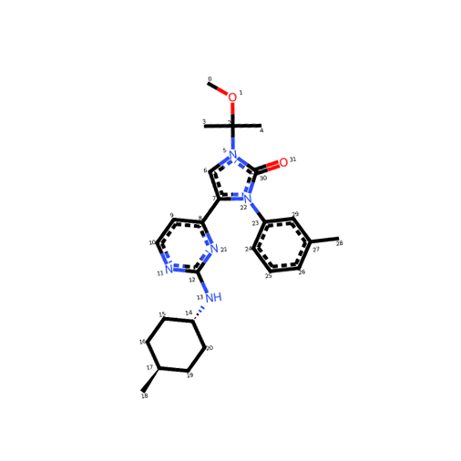 COC(C)(C)n1cc(-c2ccnc(N[C@H]3CC[C@H](C)CC3)n2)n(-c2cccc(C)c2)c1=O